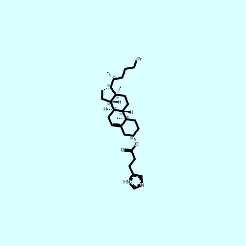 CC(C)CCC[C@@H](C)[C@H]1CC[C@H]2[C@@H]3CC=C4C[C@@H](OC(=O)CCc5cnc[nH]5)CC[C@]4(C)[C@H]3CC[C@]12C